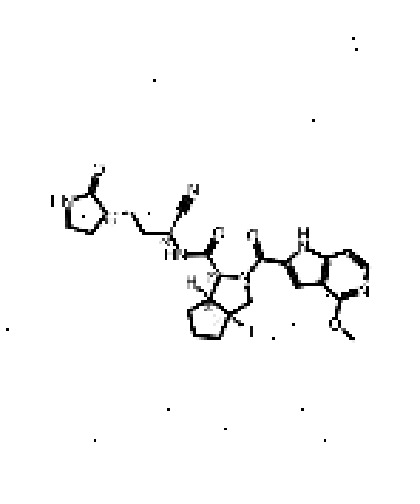 COc1nccc2[nH]c(C(=O)N3C[C@@H]4CCC[C@@H]4[C@H]3C(=O)N[C@H](C#N)CC[C@@H]3CCNC3=O)cc12